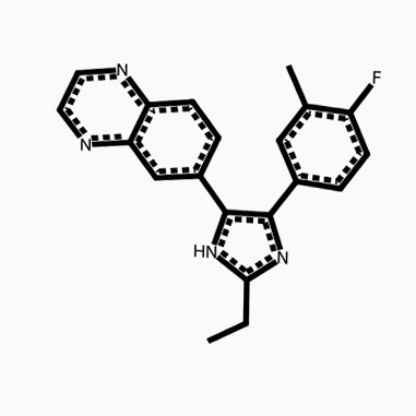 CCc1nc(-c2ccc(F)c(C)c2)c(-c2ccc3nccnc3c2)[nH]1